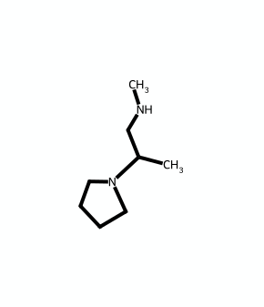 CNCC(C)N1CCCC1